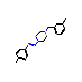 Cc1ccc(/N=N/N2CCN(Cc3cccc(C)c3)CC2)cc1